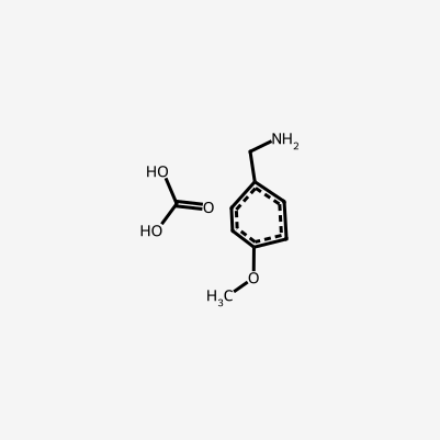 COc1ccc(CN)cc1.O=C(O)O